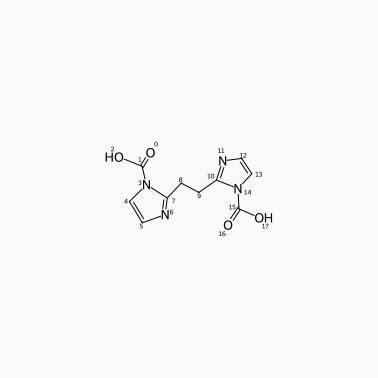 O=C(O)n1ccnc1CCc1nccn1C(=O)O